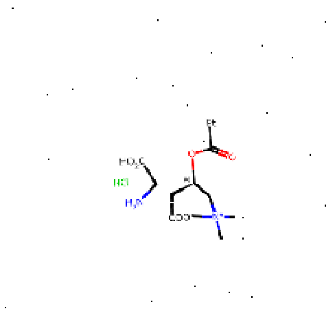 CCC(=O)O[C@H](CC(=O)[O-])C[N+](C)(C)C.Cl.NCC(=O)O